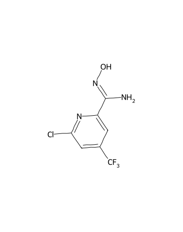 NC(=NO)c1cc(C(F)(F)F)cc(Cl)n1